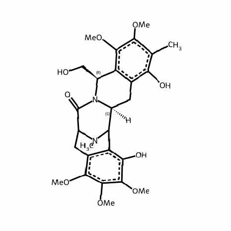 COc1c(C)c(O)c2c(c1OC)[C@H](CO)N1C(=O)C3Cc4c(OC)c(OC)c(OC)c(O)c4C([C@@H]1C2)N3C